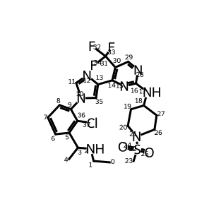 CCNC(C)c1cccc(-n2cnc(-c3nc(NC4CCN(S(C)(=O)=O)CC4)ncc3C(F)(F)F)c2)c1Cl